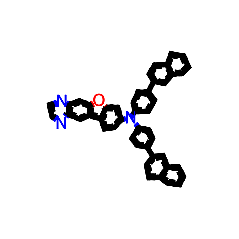 c1ccc2cc(-c3ccc(N(c4ccc(-c5ccc6ccccc6c5)cc4)c4ccc5c(c4)oc4cc6nccnc6cc45)cc3)ccc2c1